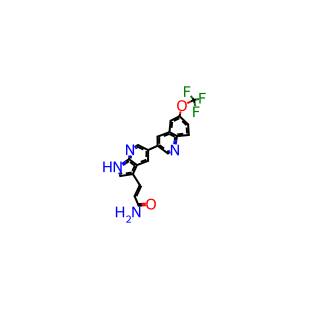 NC(=O)/C=C/c1c[nH]c2ncc(-c3cnc4ccc(OC(F)(F)F)cc4c3)cc12